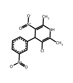 CC1=C(Cl)C(c2cccc([N+](=O)[O-])c2)C([N+](=O)[O-])=C(C)N1